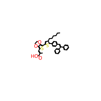 CCCCCCC1C=C(c2sc(/C=C(\C)C(=O)O)c3c2OCCO3)SC1c1ccc(C=C(c2ccccc2)c2ccccc2)cc1